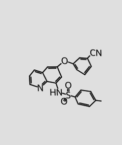 Cc1ccc(S(=O)(=O)Nc2cc(Oc3cccc(C#N)c3)cc3cccnc23)cc1